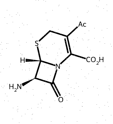 CC(=O)C1=C(C(=O)O)N2C(=O)[C@@H](N)[C@@H]2SC1